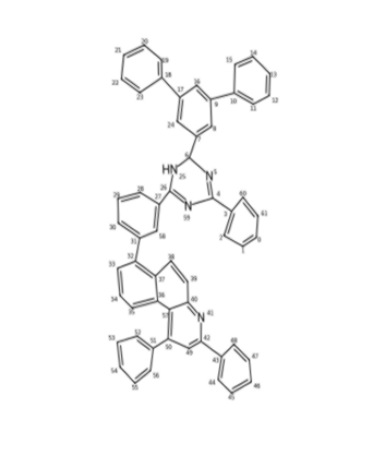 c1ccc(C2=NC(c3cc(-c4ccccc4)cc(-c4ccccc4)c3)NC(c3cccc(-c4cccc5c4ccc4nc(-c6ccccc6)cc(-c6ccccc6)c45)c3)=N2)cc1